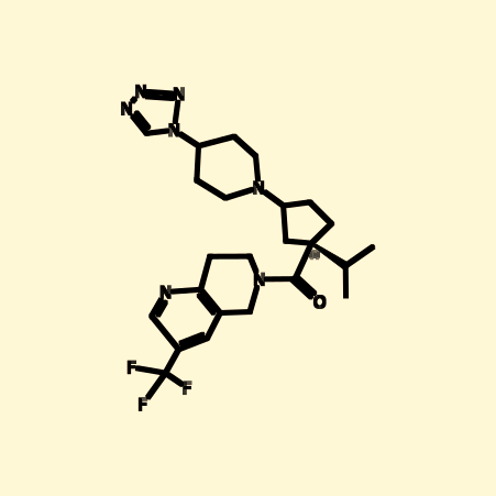 CC(C)[C@]1(C(=O)N2CCc3ncc(C(F)(F)F)cc3C2)CCC(N2CCC(n3cnnn3)CC2)C1